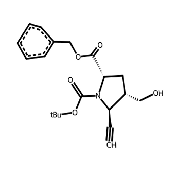 C#C[C@@H]1[C@@H](CO)C[C@@H](C(=O)OCc2ccccc2)N1C(=O)OC(C)(C)C